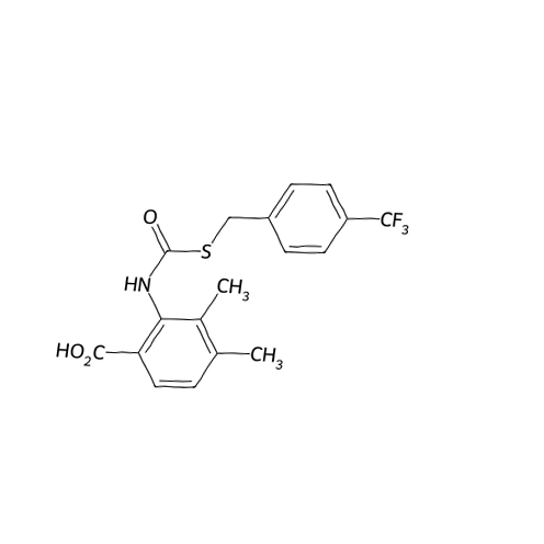 Cc1ccc(C(=O)O)c(NC(=O)SCc2ccc(C(F)(F)F)cc2)c1C